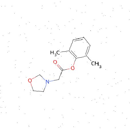 Cc1cccc(C)c1OC(=O)CN1CCOC1